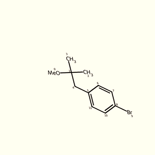 COC(C)(C)Cc1ccc(Br)cc1